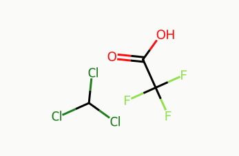 ClC(Cl)Cl.O=C(O)C(F)(F)F